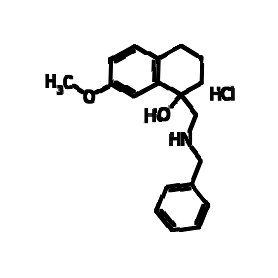 COc1ccc2c(c1)C(O)(CNCc1ccccc1)CCC2.Cl